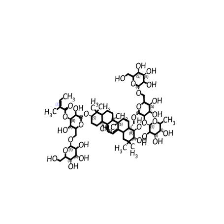 C/C=C(/C)C(=O)O[C@H]1C(O)[C@H](O[C@H]2CC[C@@]3(C)C(CC[C@]4(C)C3CC=C3C5CC(C)(C)[C@@H](O)[C@H](O)[C@]5(CO[C@@H]5OC(CO[C@@H]6OC(CO)[C@@H](O)[C@@H](O)C6O)[C@@H](O)[C@@H](O)C5O[C@@H]5OC(C)[C@H](O)[C@H](O)C5O)CC[C@]34C)C2(C)C)OC(CO[C@@H]2OC(CO)[C@@H](O)[C@@H](O)C2O)[C@H]1O